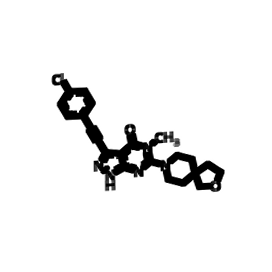 Cn1c(N2CCC3(CCOC3)CC2)nc2[nH]nc(C#Cc3ccc(Cl)cc3)c2c1=O